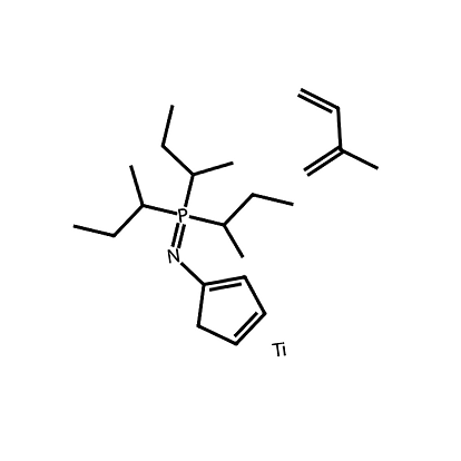 C=CC(=C)C.CCC(C)P(=NC1=CC=CC1)(C(C)CC)C(C)CC.[Ti]